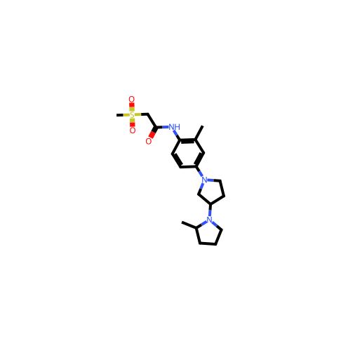 Cc1cc(N2CCC(N3CCCC3C)C2)ccc1NC(=O)CS(C)(=O)=O